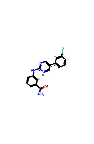 NC(=O)c1cccc(Nc2ncc(-c3cccc(F)c3)cn2)c1